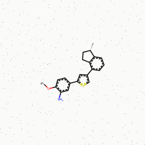 CC(C)Oc1ccc(-c2cc(-c3cccc4c3CC[C@@H]4C)cs2)cc1N